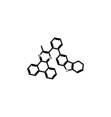 Cc1nc2c3ccccc3c3ccccc3c2nc1-c1ccccc1-c1ccc2oc3c(c2c1)CCC=C3